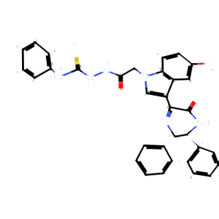 O=C(Cn1cc(C2=N[C@@H](c3ccccc3)[C@H](c3ccccc3)NC2=O)c2cc(Br)ccc21)NNC(=S)Nc1ccccc1